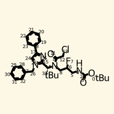 CC(C)(C)OC(=O)NCC(F)CN(C(=O)CCl)[C@@H](c1nc(-c2ccccc2)cn1Cc1ccccc1)C(C)(C)C